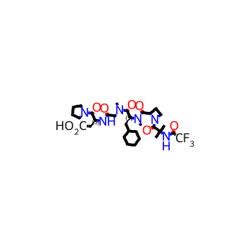 CN(CC(=O)N[C@@H](CC(=O)O)C(=O)N1CCCC1)C(=O)[C@H](CC1CCCCC1)N(C)C(=O)C1CCN1C(=O)C(C)(C)NC(=O)C(F)(F)F